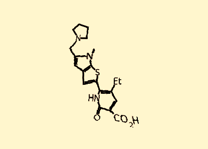 CCc1cc(C(=O)O)c(=O)[nH]c1-c1cc2cc(CN3CCCC3)n(C)c2s1